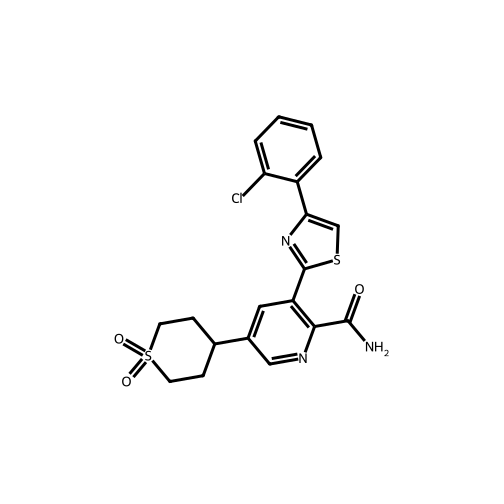 NC(=O)c1ncc(C2CCS(=O)(=O)CC2)cc1-c1nc(-c2ccccc2Cl)cs1